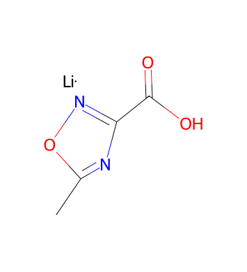 Cc1nc(C(=O)O)no1.[Li]